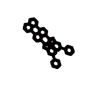 Cn1c(-c2ccc(-c3cccc4cccc(-c5ccc(-c6nc7cc(-c8ccccc8)ccc7n6C)cc5)c34)cc2)nc2cc(-c3ccccc3)ccc21